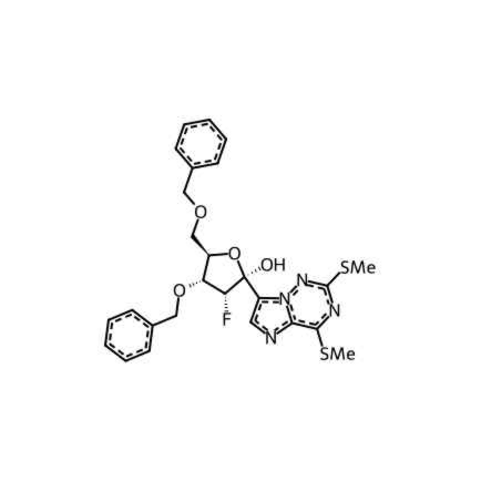 CSc1nc(SC)c2ncc([C@]3(O)O[C@H](COCc4ccccc4)[C@@H](OCc4ccccc4)[C@H]3F)n2n1